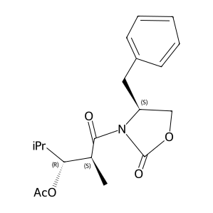 CC(=O)O[C@H](C(C)C)[C@H](C)C(=O)N1C(=O)OC[C@@H]1Cc1ccccc1